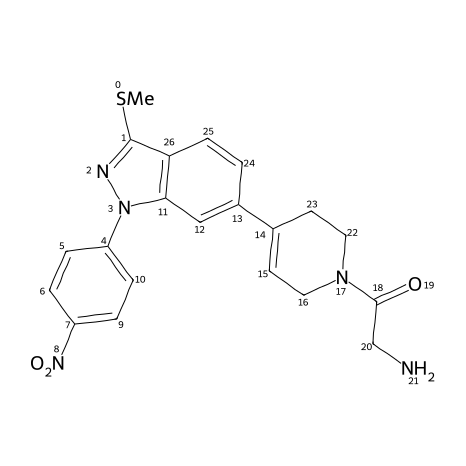 CSc1nn(-c2ccc([N+](=O)[O-])cc2)c2cc(C3=CCN(C(=O)CN)CC3)ccc12